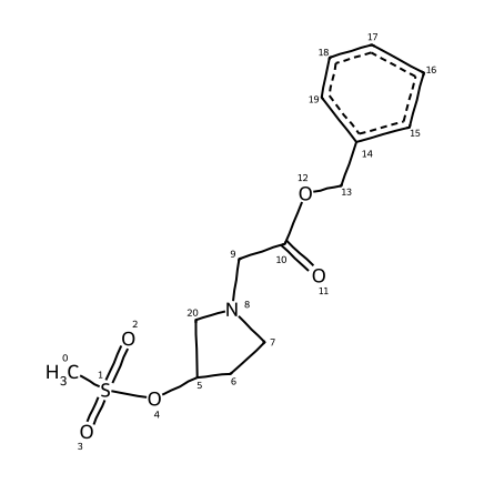 CS(=O)(=O)OC1CCN(CC(=O)OCc2ccccc2)C1